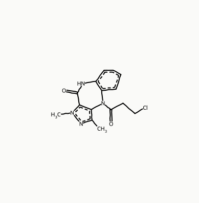 Cc1nn(C)c2c1N(C(=O)CCCl)c1ccccc1NC2=O